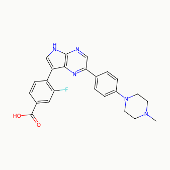 CN1CCN(c2ccc(-c3cnc4[nH]cc(-c5ccc(C(=O)O)cc5F)c4n3)cc2)CC1